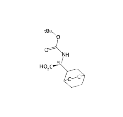 CC(C)(C)OC(=O)N[C@H](C(=O)O)C1CC2CCC1CC2